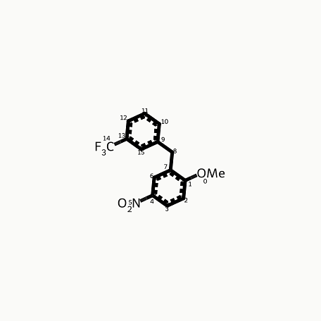 COc1ccc([N+](=O)[O-])cc1Cc1cccc(C(F)(F)F)c1